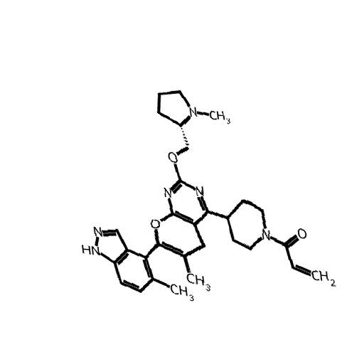 C=CC(=O)N1CCC(c2nc(OC[C@@H]3CCCN3C)nc3c2CC(C)=C(c2c(C)ccc4[nH]ncc24)O3)CC1